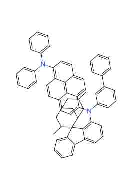 CC1CC2CC(C)C3(c4ccccc4-c4cccc(N(c5cccc(-c6ccccc6)c5)c5ccc6ccc7c(N(c8ccccc8)c8ccccc8)ccc8ccc5c6c87)c43)C(C1)C2